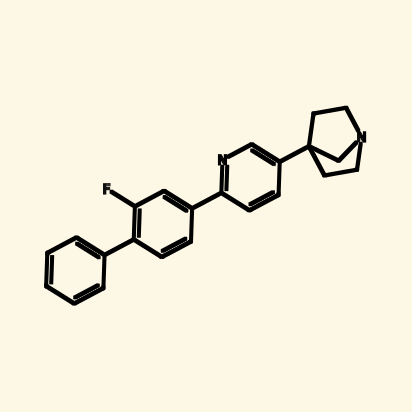 Fc1cc(-c2ccc(C34CCN(CC3)C4)cn2)ccc1-c1ccccc1